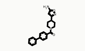 Nc1cc(C2CCN(C(=O)c3ccc(-c4ccccc4)cc3)CC2)no1